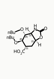 CCCCO[C@@H]1[C@H]2NC(=O)O[C@H]2C[C@H](C(=O)O)[C@H]1OCCCC